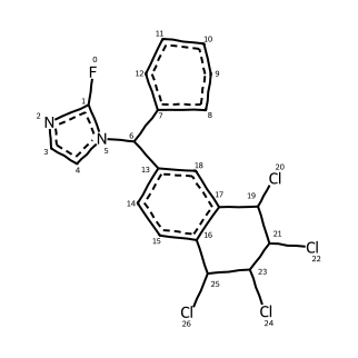 Fc1nccn1C(c1ccccc1)c1ccc2c(c1)C(Cl)C(Cl)C(Cl)C2Cl